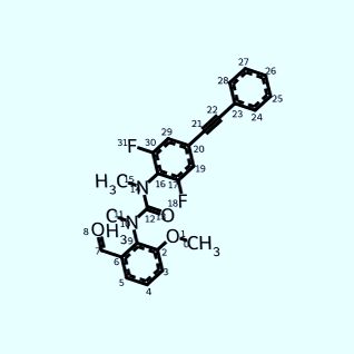 COc1cccc(C=O)c1N(C)C(=O)N(C)c1c(F)cc(C#Cc2ccccc2)cc1F